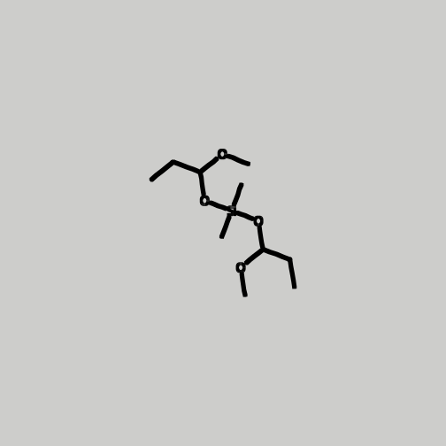 CCC(OC)O[Si](C)(C)OC(CC)OC